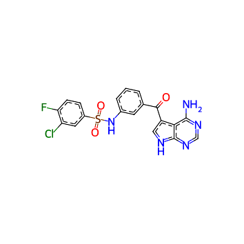 Nc1ncnc2[nH]cc(C(=O)c3cccc(NS(=O)(=O)c4ccc(F)c(Cl)c4)c3)c12